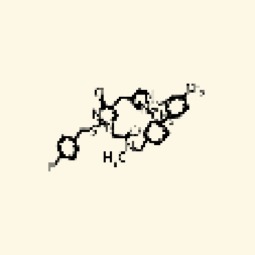 CN(Cc1ccc(-c2ccc(C(F)(F)F)cc2C(F)(F)F)cc1)C(=O)Cn1cc(Cc2cnn(C)c2)c(=O)nc1SCc1ccc(F)cc1